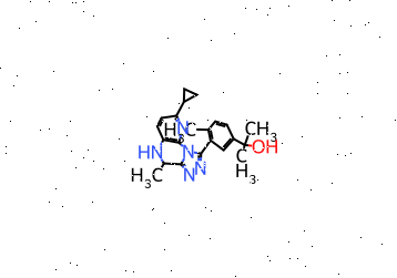 Cc1ccc(C(C)(C)O)cc1-c1nnc2n1-c1nc(C3CC3)ccc1NC2C